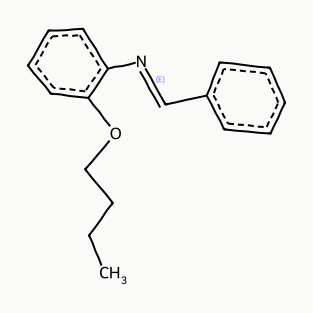 CCCCOc1ccccc1/N=C/c1ccccc1